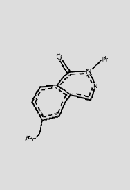 CC(C)c1ccc2c(=O)n(C(C)C)ncc2c1